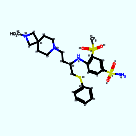 NS(=O)(=O)c1ccc(N[C@H](CCN2CCC3(CC2)CN(C(=O)O)C3)CSc2ccccc2)c(S(=O)(=O)C(F)(F)F)c1